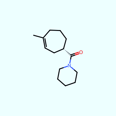 CC1=CC[C@@H](C(=O)N2CCCCC2)CCC1